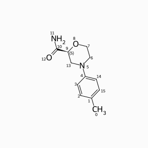 Cc1ccc(N2CCO[C@H](C(N)=O)C2)cc1